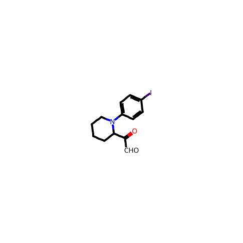 O=CC(=O)C1CCCCN1c1ccc(I)cc1